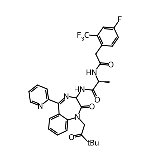 C[C@H](NC(=O)Cc1ccc(F)cc1C(F)(F)F)C(=O)NC1N=C(c2ccccn2)c2ccccc2N(CC(=O)C(C)(C)C)C1=O